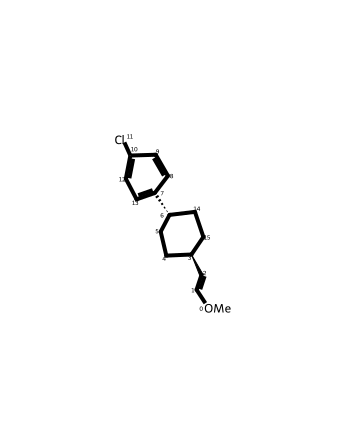 CO/C=C/[C@H]1CC[C@H](c2ccc(Cl)cc2)CC1